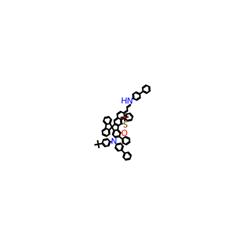 CC(C)(C)C(/C=C\c1cc2c(c3sc4ccccc4c13)-c1c(cc(N(c3ccc(-c4ccccc4)cc3)c3ccc(C(C)(C)C)cc3)c3c1oc1ccccc13)C21c2ccccc2-c2ccccc21)=C/C=C/Nc1ccc(-c2ccccc2)cc1